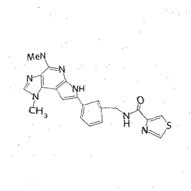 CNc1nc2[nH]c(-c3cccc(CNC(=O)c4cscn4)c3)cc2c2c1ncn2C